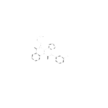 COCCN1C(=O)c2ccccc2C(C(=O)Nc2cccc(C(C)=O)c2)C1c1cccs1